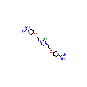 Cl.N=C(N)c1ccc(OCCCN2CCN(CCCOc3ccc(C(=N)N)cc3)CC2)cc1